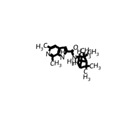 Cc1cc2cc(C(=O)N[C@H]3CC4C(C)(C)C(C4(C)C)C3(C)C)[nH]c2c(C)n1